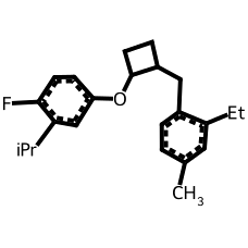 CCc1cc(C)ccc1CC1CCC1Oc1ccc(F)c(C(C)C)c1